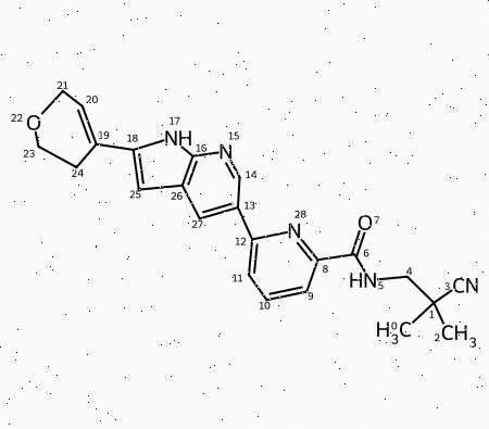 CC(C)(C#N)CNC(=O)c1cccc(-c2cnc3[nH]c(C4=CCOCC4)cc3c2)n1